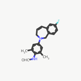 Cc1cc(N2CC=Cc3cc(F)ccc3C2)cc(C)c1NC=O